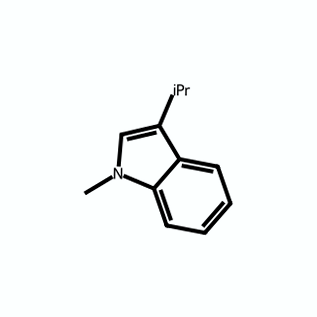 CC(C)c1cn(C)c2ccccc12